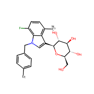 CCc1ccc(Cn2cc([C@@H]3O[C@H](CO)[C@@H](O)[C@H](O)[C@H]3O)c3c(C)ccc(F)c32)cc1